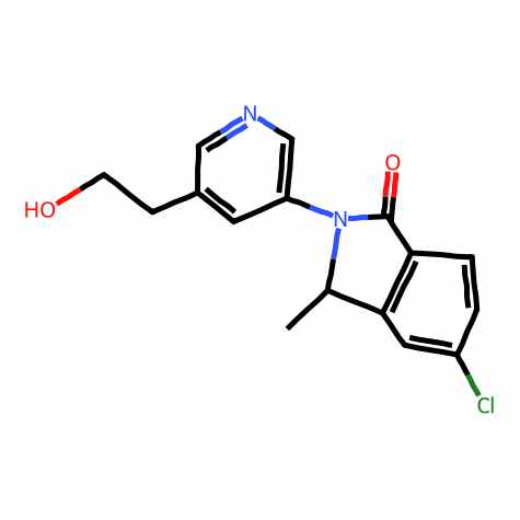 CC1c2cc(Cl)ccc2C(=O)N1c1cncc(CCO)c1